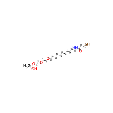 CC(O)OCCOCCOCCCCCCCCCCCNC(=O)CCS